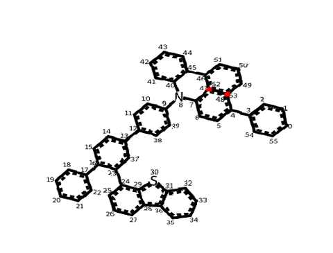 c1ccc(-c2ccc(N(c3ccc(-c4ccc(-c5ccccc5)c(-c5cccc6c5sc5ccccc56)c4)cc3)c3ccccc3-c3ccccc3)cc2)cc1